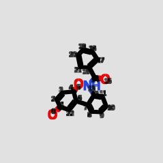 O=C1C=CC(=O)C(c2ccccc2NC(=O)c2ccccc2)=C1